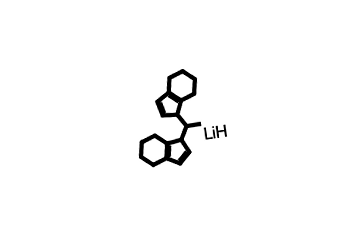 CC(C1C=CC2=C1CCCC2)C1C=CC2=C1CCCC2.[LiH]